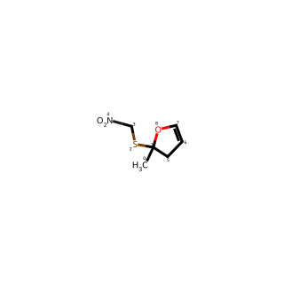 CC1(SC[N+](=O)[O-])CC=CO1